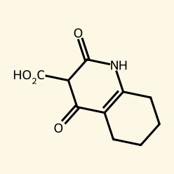 O=C(O)C1C(=O)NC2=C(CCCC2)C1=O